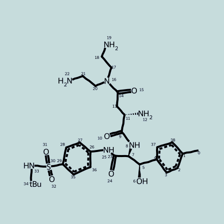 Cc1ccc([C@@H](O)[C@H](NC(=O)[C@@H](N)CC(=O)N(CCN)CCN)C(=O)Nc2ccc(S(=O)(=O)NC(C)(C)C)cc2)cc1